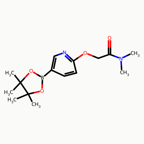 CN(C)C(=O)COc1ccc(B2OC(C)(C)C(C)(C)O2)cn1